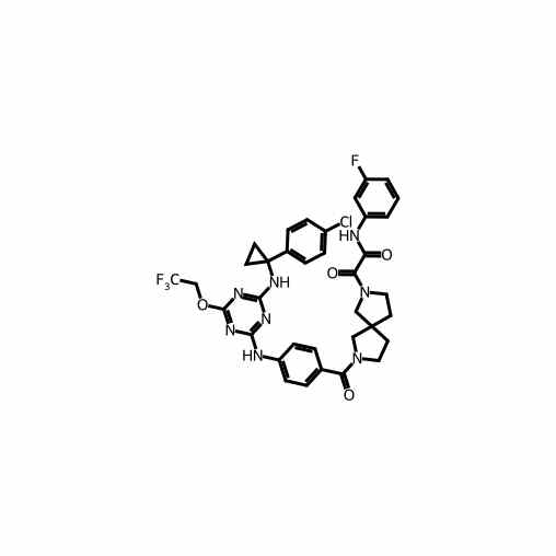 O=C(Nc1cccc(F)c1)C(=O)N1CCC2(CCN(C(=O)c3ccc(Nc4nc(NC5(c6ccc(Cl)cc6)CC5)nc(OCC(F)(F)F)n4)cc3)C2)C1